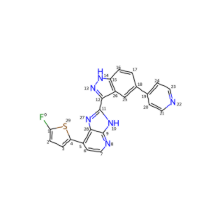 Fc1ccc(-c2ccnc3[nH]c(-c4n[nH]c5ccc(-c6ccncc6)cc45)nc23)s1